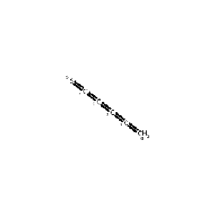 C=C=C=C=C=S